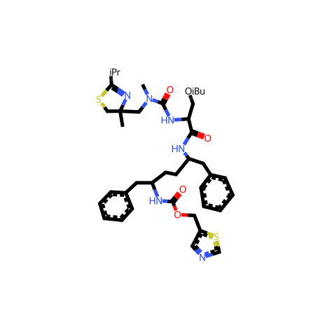 CC(C)COCC(NC(=O)N(C)CC1(C)CSC(C(C)C)=N1)C(=O)NC(CCC(Cc1ccccc1)NC(=O)OCc1cncs1)Cc1ccccc1